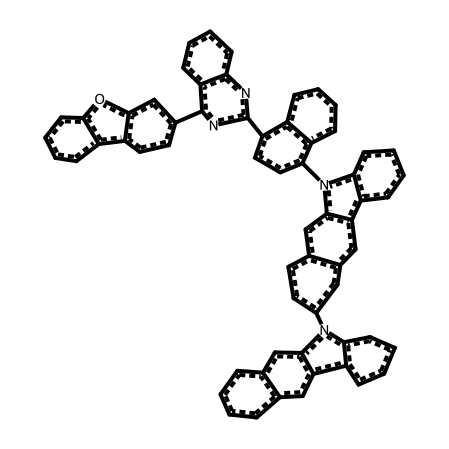 c1ccc2cc3c(cc2c1)c1ccccc1n3-c1ccc2cc3c(cc2c1)c1ccccc1n3-c1ccc(-c2nc(-c3ccc4c(c3)oc3ccccc34)c3ccccc3n2)c2ccccc12